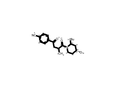 CC(CC(=O)c1ccc(C#N)cc1)C(=O)N1CC[C@@H]([O])CC1C(C)(C)C